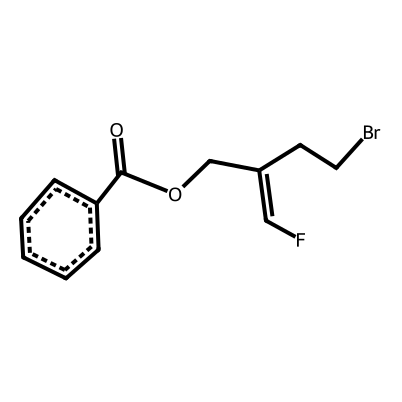 O=C(OCC(=CF)CCBr)c1ccccc1